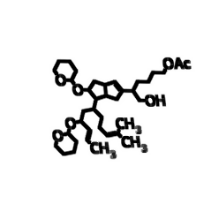 CC=CC(CC(CCC=C(C)C)C1C(OC2CCCCO2)CC2C=C(C(CO)CCCCOC(C)=O)CC21)OC1CCCCO1